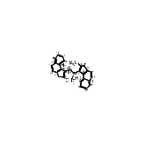 CC1=C([C@H](C)[C@@H](C)C2=C(C)Cc3ccc4ccccc4c32)c2c(ccc3ccccc23)C1